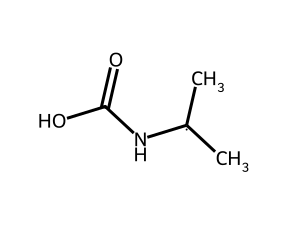 C[C](C)NC(=O)O